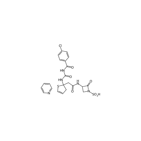 O=C(CC1(NC(=O)NC(=O)c2ccc(Cl)cc2)CC=CS1)NC1CN(S(=O)(=O)O)C1=O.c1ccncc1